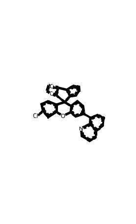 Clc1ccc2c(c1)Oc1cc(-c3cccc4cccnc34)ccc1C21c2ccccc2-c2ccccc21